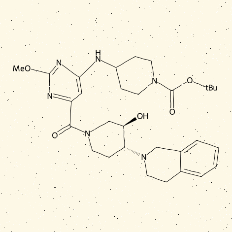 COc1nc(NC2CCN(C(=O)OC(C)(C)C)CC2)cc(C(=O)N2CC[C@@H](N3CCc4ccccc4C3)[C@H](O)C2)n1